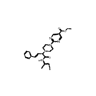 CCOC(=O)c1cnc(N2CCN(C(/C=C/c3ccccc3)C(=O)NC(C)CC)CC2)nc1